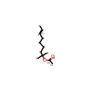 C/C=C/CCCCC(C)(C)OC(C)=O